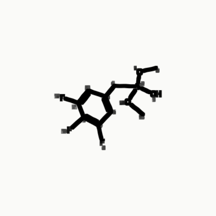 CO[Si](O)(Cc1cc(F)c(F)c(F)c1)OC